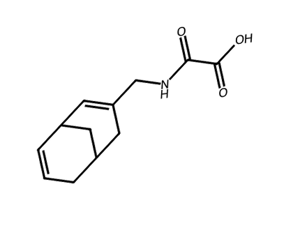 O=C(O)C(=O)NCC1=CC2C=CCC(C1)C2